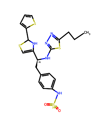 CCCc1nnc(N[C@@H](Cc2ccc(N[SH](=O)=O)cc2)C2=CSC(c3cccs3)N2)s1